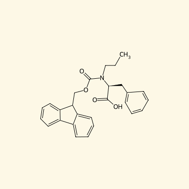 CCCN(C(=O)OCC1c2ccccc2-c2ccccc21)[C@@H](Cc1ccccc1)C(=O)O